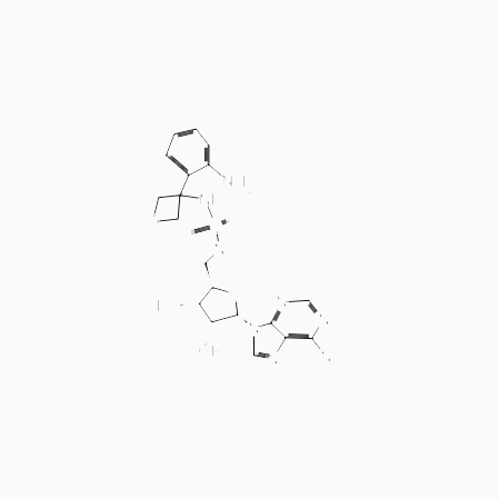 Nc1ccccc1C1(NS(=O)(=O)NC[C@H]2O[C@@H](n3cnc4c(N)ncnc43)[C@H](O)[C@@H]2O)COC1